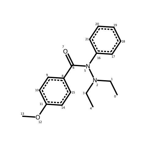 CCN(CC)N(C(=O)c1ccc(OC)cc1)c1ccccc1